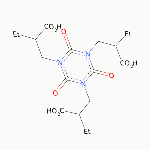 CCC(Cn1c(=O)n(CC(CC)C(=O)O)c(=O)n(CC(CC)C(=O)O)c1=O)C(=O)O